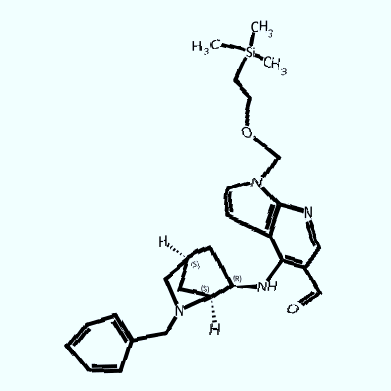 C[Si](C)(C)CCOCn1ccc2c(N[C@@H]3C[C@H]4C[C@@H]3N(Cc3ccccc3)C4)c(C=O)cnc21